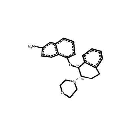 Nc1ccc2c(O[C@H]3c4ccccc4CC[C@@H]3N3CCOCC3)cccc2c1